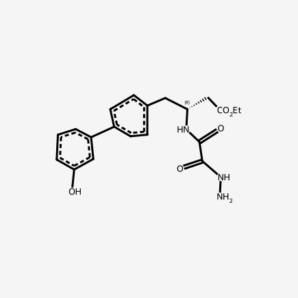 CCOC(=O)C[C@@H](Cc1ccc(-c2cccc(O)c2)cc1)NC(=O)C(=O)NN